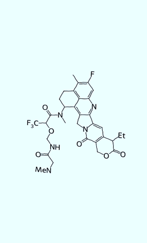 CCC1C(=O)OCc2c1cc1n(c2=O)Cc2c-1nc1cc(F)c(C)c3c1c2C(N(C)C(=O)C(OCNC(=O)CNC)C(F)(F)F)CC3